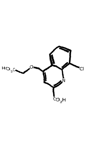 O=C(O)COc1cc(C(=O)O)nc2c(Cl)cccc12